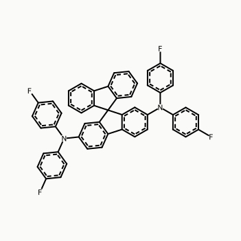 Fc1ccc(N(c2ccc(F)cc2)c2ccc3c(c2)C2(c4ccccc4-c4ccccc42)c2cc(N(c4ccc(F)cc4)c4ccc(F)cc4)ccc2-3)cc1